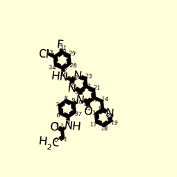 C=CC(=O)Nc1cccc(-n2c(=O)c(Cc3ccccn3)cc3cnc(Nc4ccc(F)c(Cl)c4)nc32)c1